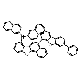 c1ccc(-c2ccc3c(c2)oc2c(-c4cc5c(oc6cccc(N(c7ccc8ccccc8c7)c7ccc8ccccc8c7)c65)c5ccccc45)cccc23)cc1